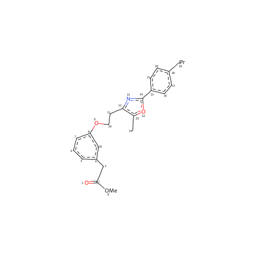 COC(=O)Cc1cccc(OCCc2nc(-c3ccc(C(C)C)cc3)oc2C)c1